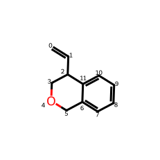 C=CC1COCc2ccccc21